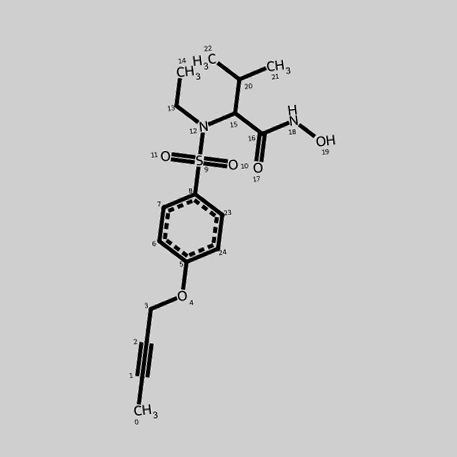 CC#CCOc1ccc(S(=O)(=O)N(CC)C(C(=O)NO)C(C)C)cc1